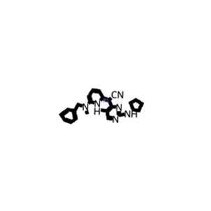 Cc1cnc(NC2CCCC2)nc1/C(C#N)=C1/C=CC=C(N(C)Cc2ccccc2)N1